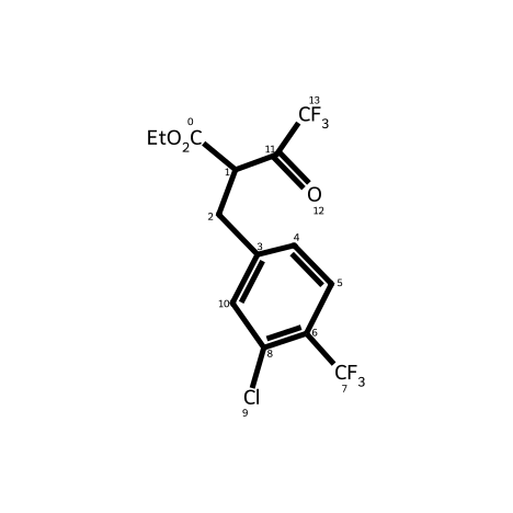 CCOC(=O)C(Cc1ccc(C(F)(F)F)c(Cl)c1)C(=O)C(F)(F)F